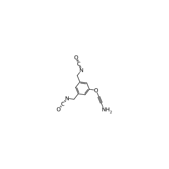 NC#COc1cc(CN=C=O)cc(CN=C=O)c1